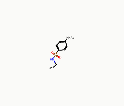 CC(=O)Nc1ccc(S(=O)(=O)NCC(C)C)cc1